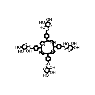 OC1COC(SCc2ccc(-c3c4nc(c(-c5ccc(CSC6OCC(O)C(O)C6O)cc5)c5ccc([nH]5)c(-c5ccc(OSC6OCC(O)C(O)C6O)cc5)c5nc(c(-c6ccc(CSC7OCC(O)C(O)C7O)cc6)c6ccc3[nH]6)C=C5)C=C4)cc2)C(O)C1O